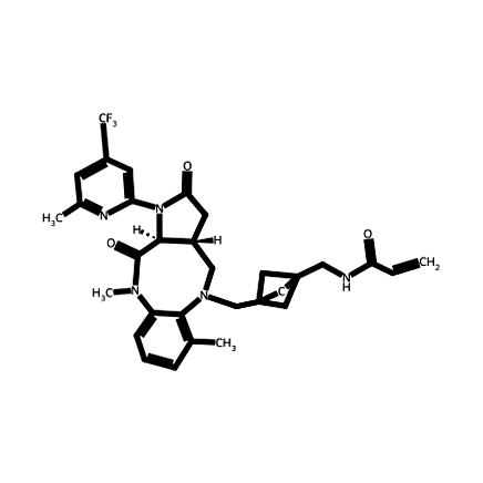 C=CC(=O)NCC12CC(CN3C[C@H]4CC(=O)N(c5cc(C(F)(F)F)cc(C)n5)[C@@H]4C(=O)N(C)c4cccc(C)c43)(C1)C2